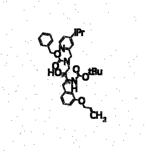 C=CCOc1cccc(C[C@H](NC(=O)OC(C)(C)C)[C@H](O)CN(Cc2cc(C(C)C)ccn2)C(=O)OCc2ccccc2)c1